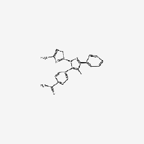 Cc1c(-c2ccccc2)nn(-c2nc(C(=O)O)cs2)c1-c1ccc(C(N)=O)cc1